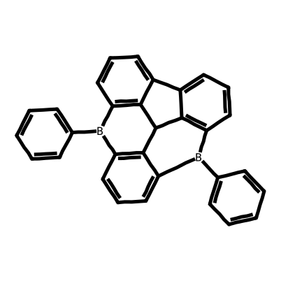 c1ccc(B2c3cccc4c3C3c5c2cccc5-c2cccc(c23)B4c2ccccc2)cc1